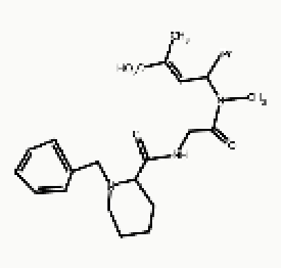 C/C(=C\C(C(C)C)N(C)C(=O)CNC(=O)C1CCCCN1Cc1ccccc1)C(=O)O